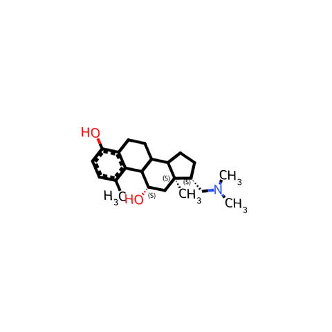 Cc1ccc(O)c2c1C1C(CC2)C2CC[C@H](CN(C)C)[C@@]2(C)C[C@@H]1O